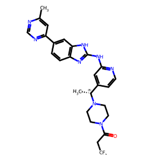 Cc1cc(-c2ccc3nc(Nc4cc([C@@H](C)N5CCN(C(=O)CC(F)(F)F)CC5)ccn4)[nH]c3c2)ncn1